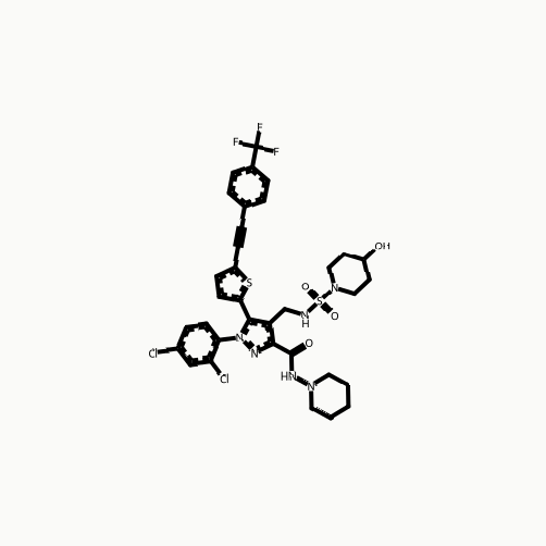 O=C(NN1CCCCC1)c1nn(-c2ccc(Cl)cc2Cl)c(-c2ccc(C#Cc3ccc(C(F)(F)F)cc3)s2)c1CNS(=O)(=O)N1CCC(O)CC1